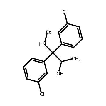 CCNC(c1cccc(Cl)c1)(c1cccc(Cl)c1)C(C)O